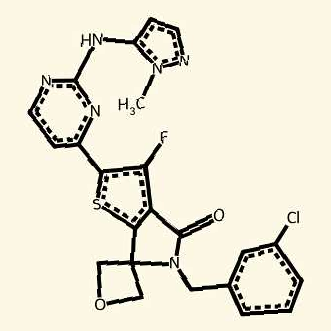 Cn1nccc1Nc1nccc(-c2sc3c(c2F)C(=O)N(Cc2cccc(Cl)c2)C32COC2)n1